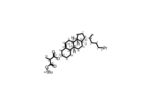 CC(C)CCCC(C)[C@H]1CC[C@H]2[C@@H]3CC=C4C[C@@H](OC(=O)C(C)C(=O)OC(C)(C)C)CC[C@]4(C)[C@H]3CC[C@]12C